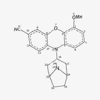 COc1cccc2c1Oc1cc(C#N)ccc1N2C1CC2CCC(C1)N2C